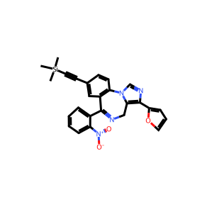 C[Si](C)(C)C#Cc1ccc2c(c1)C(c1ccccc1[N+](=O)[O-])=NCc1c(-c3ccco3)ncn1-2